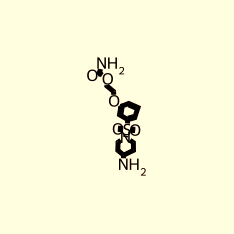 NC(=O)OCCOc1cccc(S(=O)(=O)N2CCC(N)CC2)c1